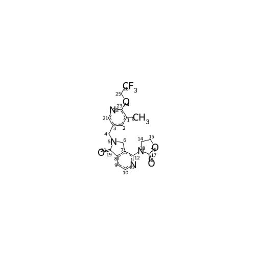 Cc1cc(CN2Cc3c(ccnc3N3CCOC3=O)C2=O)cnc1OCC(F)(F)F